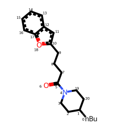 CCCCC1CCN(C(=O)CCCc2cc3ccccc3o2)CC1